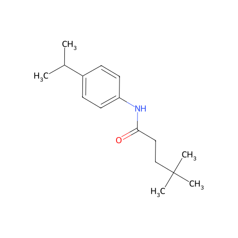 CC(C)c1ccc(NC(=O)CCC(C)(C)C)cc1